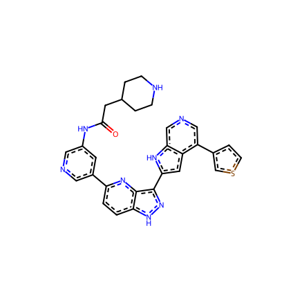 O=C(CC1CCNCC1)Nc1cncc(-c2ccc3[nH]nc(-c4cc5c(-c6ccsc6)cncc5[nH]4)c3n2)c1